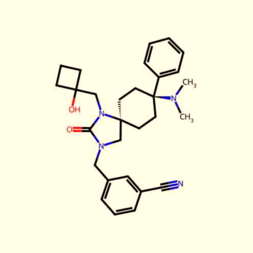 CN(C)[C@]1(c2ccccc2)CC[C@]2(CC1)CN(Cc1cccc(C#N)c1)C(=O)N2CC1(O)CCC1